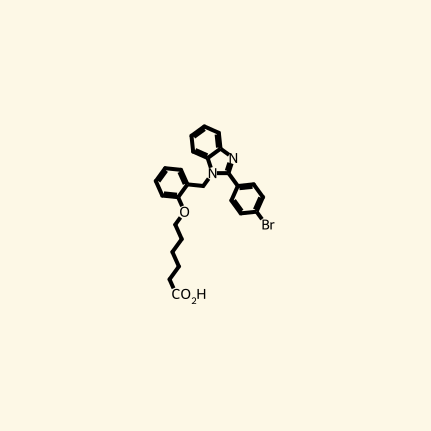 O=C(O)CCCCCOc1ccccc1Cn1c(-c2ccc(Br)cc2)nc2ccccc21